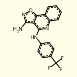 Nc1noc2c1c(Nc1ccc(C(F)(F)F)cc1)nc1ccccc12